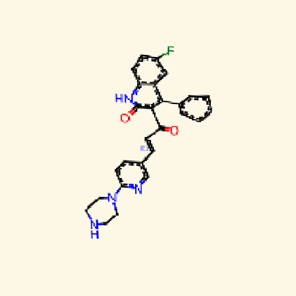 O=C(/C=C/c1ccc(N2CCNCC2)nc1)c1c(-c2ccccc2)c2cc(F)ccc2[nH]c1=O